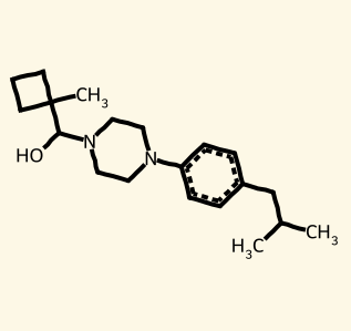 CC(C)Cc1ccc(N2CCN(C(O)C3(C)CCC3)CC2)cc1